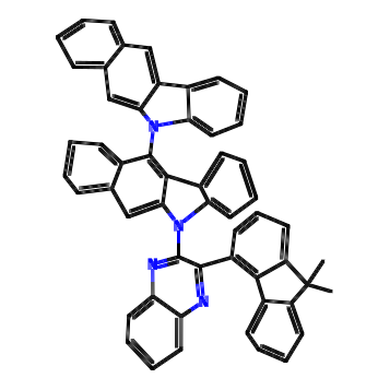 CC1(C)c2ccccc2-c2c(-c3nc4ccccc4nc3-n3c4ccccc4c4c(-n5c6ccccc6c6cc7ccccc7cc65)c5ccccc5cc43)cccc21